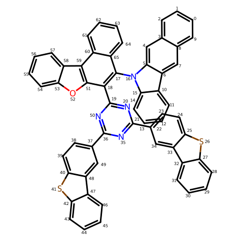 c1ccc2cc3c(cc2c1)c1ccccc1n3-c1c(-c2nc(-c3ccc4sc5ccccc5c4c3)nc(-c3ccc4sc5ccccc5c4c3)n2)c2oc3ccccc3c2c2ccccc12